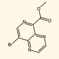 COC(=O)c1ncc(Br)c2nccnc12